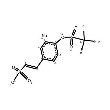 O=S(=O)([O-])/C=C/c1ccc(OS(=O)(=O)C(F)(F)F)cc1.[Na+]